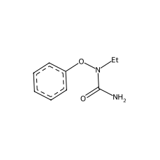 CCN(Oc1ccccc1)C(N)=O